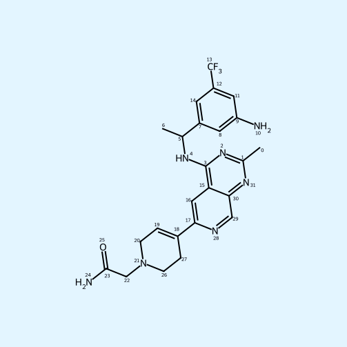 Cc1nc(NC(C)c2cc(N)cc(C(F)(F)F)c2)c2cc(C3=CCN(CC(N)=O)CC3)ncc2n1